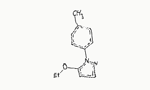 CCOc1ccnn1-c1ccc(C)cc1